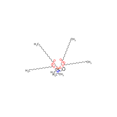 CCCCCCCCCCCCCCCC(=O)OC[C@@H](COP(OC[C@H](COC(=O)CCCCCCCCCCCCCCC)OC(=O)CCCCCCCCCCCCCCC)N(Cc1ccccc1)N(C(C)C)C(C)C)OC(=O)CCCCCCCCCCCCCCC